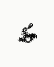 CCc1nc2ccc(OCCCN3CCOCC3)cc2c2c1O[C@]1(CC2)C[C@H]2C(=O)N[C@]3(C(=O)NS(=O)(=O)C4(C)CC4)C[C@H]3/C=C\CCCCC[C@H](NC(=O)OCC(C)(C)C)C(=O)N2C1